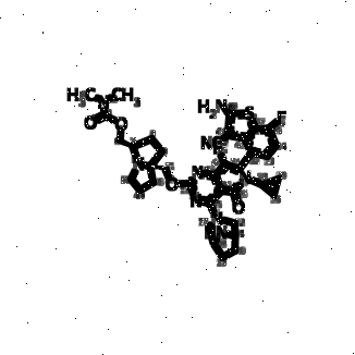 CN(C)C(=O)OC[C@H]1CC[C@@]2(COc3nc(N4CC5CCC(C4)N5)c4c(=O)n(C5CC5)c(-c5ccc(F)c6sc(N)c(C#N)c56)c(F)c4n3)CCCN12